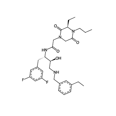 CCCN1C(=O)CN(CC(=O)N[C@@H](Cc2cc(F)cc(F)c2)[C@@H](O)CNCc2cccc(CC)c2)C(=O)[C@H]1CC